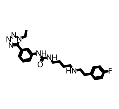 CCn1nnnc1-c1cccc(NC(=O)NCCCCNCCc2ccc(F)cc2)c1